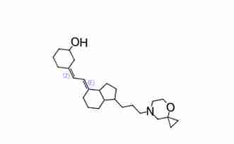 OC1CCC/C(=C/C=C2\CCCC3C(CCCN4CCOC5(CC5)C4)CCC23)C1